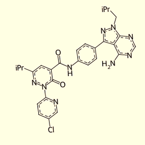 CC(C)Cn1nc(-c2ccc(NC(=O)c3cc(C(C)C)nn(-c4ccc(Cl)cn4)c3=O)cc2)c2c(N)ncnc21